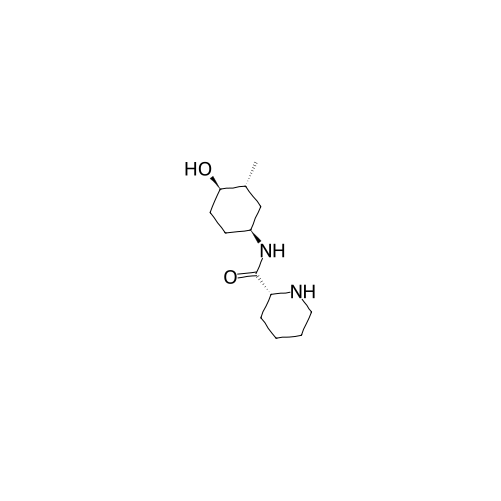 C[C@@H]1C[C@@H](NC(=O)[C@H]2CCCCN2)CC[C@H]1O